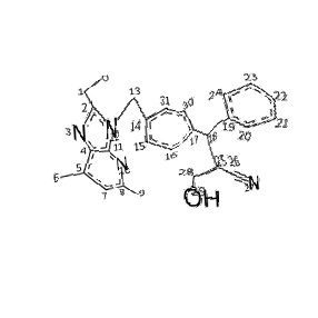 CCc1nc2c(C)cc(C)nc2n1Cc1ccc(C(c2ccccc2)C(C#N)CO)cc1